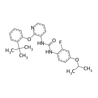 CC(C)Oc1ccc(NC(=O)Nc2cccnc2Oc2ccccc2C(C)(C)C)c(F)c1